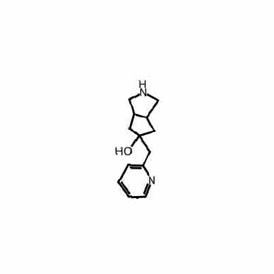 OC1(Cc2ccccn2)CC2CNCC2C1